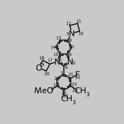 COc1cc(-c2nc3cc(N4CCC4)ccc3n2C2COC2)c(F)c(C)c1C